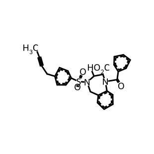 CC#CCc1ccc(S(=O)(=O)N2Cc3ccccc3N(C(=O)c3ccccc3)CC2C(=O)O)cc1